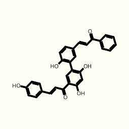 O=C(/C=C/c1ccc(O)c(-c2cc(C(=O)/C=C/c3ccc(O)cc3)c(O)cc2O)c1)c1ccccc1